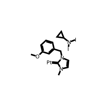 COc1cccc(Cn2ccn(C)[c]2=[Pt])c1.IN(I)C1CC1